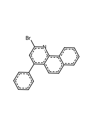 Brc1cc(-c2ccccc2)c2ccc3ccccc3c2n1